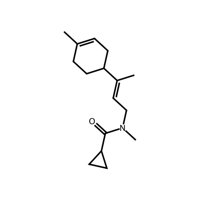 CC1=CCC(/C(C)=C/CN(C)C(=O)C2CC2)CC1